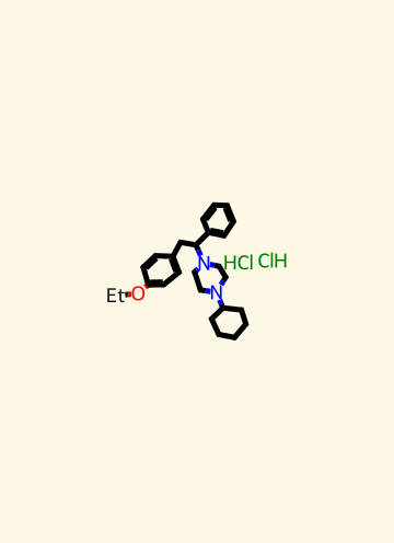 CCOc1ccc(CC(c2ccccc2)N2CCN(C3CCCCC3)CC2)cc1.Cl.Cl